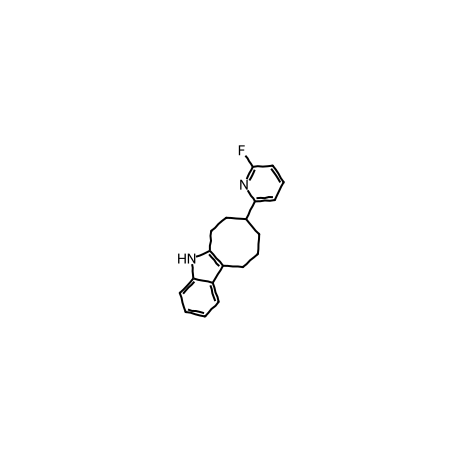 Fc1cccc(C2CCCc3c([nH]c4ccccc34)CC2)n1